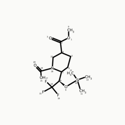 COC(=O)C1CCC([C@@H](O[Si](C)(C)C)C(F)(F)F)N(C(=O)O)C1